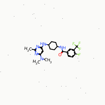 Cc1nc(NC2CCC(NC(=O)c3ccc(F)c(C(F)(F)F)c3)CC2)cc(N(C)C)n1